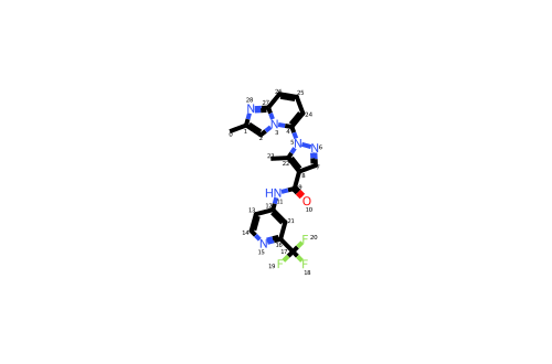 Cc1cn2c(-n3ncc(C(=O)Nc4ccnc(C(F)(F)F)c4)c3C)cccc2n1